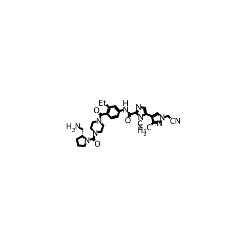 CCc1cc(NC(=O)c2ncc(-c3cn(CC#N)nc3C(F)(F)F)n2C)ccc1C(=O)N1CCN(C(=O)N2CCC[C@@H]2CN)CC1